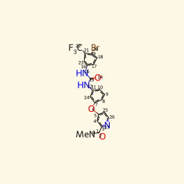 CNC(=O)c1cc(Oc2cccc(NC(=O)Nc3ccc(Br)c(C(F)(F)F)c3)c2)ccn1